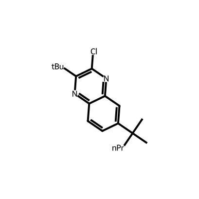 CCCC(C)(C)c1ccc2nc(C(C)(C)C)c(Cl)nc2c1